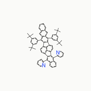 CC(C)(C)c1cc(-c2c3c(c(-c4cc(C(C)(C)C)cc(C(C)(C)C)c4)c4cc5ccccc5cc24)-c2ccc4c5c(ccc-3c25)-c2c-4c(-c3ccccn3)c3ccccc3c2-c2ccccn2)cc(C(C)(C)C)c1